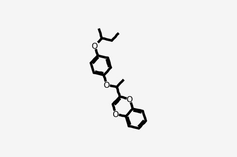 CCC(C)Oc1ccc(OC(C)C2=COc3ccccc3O2)cc1